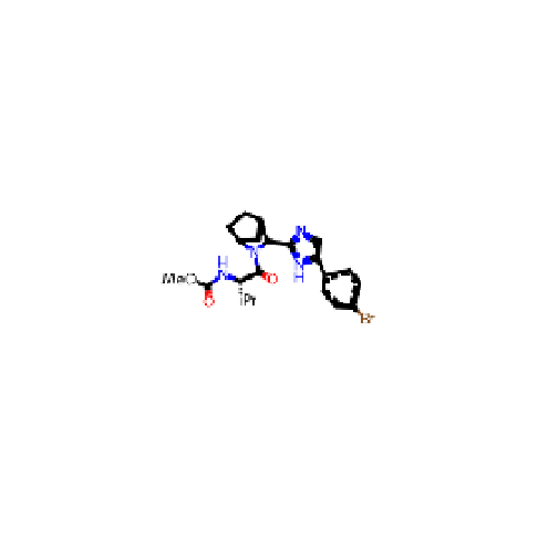 COC(=O)N[C@H](C(=O)N1C2CCC(C2)C1c1ncc(-c2ccc(Br)cc2)[nH]1)C(C)C